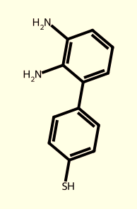 Nc1cccc(-c2ccc(S)cc2)c1N